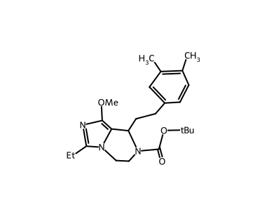 CCc1nc(OC)c2n1CCN(C(=O)OC(C)(C)C)C2CCc1ccc(C)c(C)c1